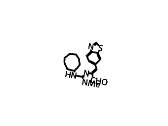 CN/C(=N\C(C=O)=C/c1ccc2ncsc2c1)NC1CCCCCCC1